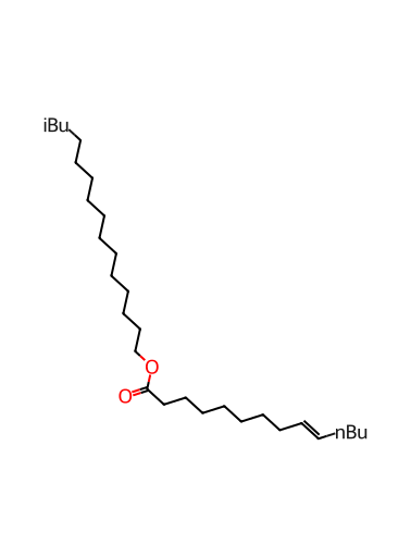 CCCCC=CCCCCCCCC(=O)OCCCCCCCCCCCCC(C)CC